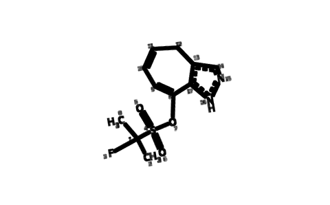 CC(C)(F)S(=O)(=O)OC1=CC=CCc2cn[nH]c21